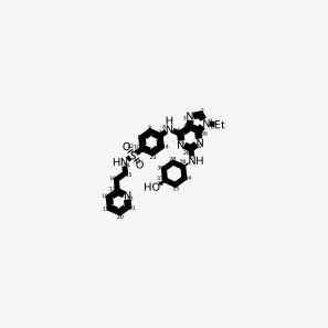 CCn1cnc2c(Nc3ccc(S(=O)(=O)NCCc4ccccn4)cc3)nc(N[C@H]3CC[C@H](O)CC3)nc21